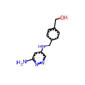 Nc1cc(NCc2ccc(CO)cc2)cnn1